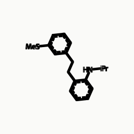 CSc1cccc(CCc2ccccc2NC(C)C)c1